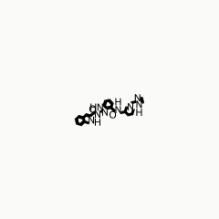 O=C(Nc1nc2c(C(=O)NCC3CCCN(Cc4ncc[nH]4)C3)cccc2[nH]1)c1cc2ccccc2cn1